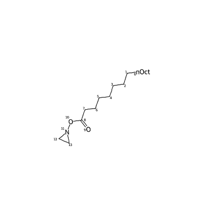 CCCCCCCCCCCCCCCC(=O)ON1CC1